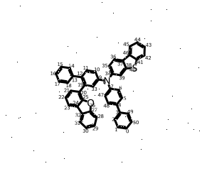 c1ccc(-c2ccc(N(c3ccc(-c4ccccc4)c(-c4cccc5c4oc4ccccc45)c3)c3ccc4c(c3)sc3ccccc34)cc2)cc1